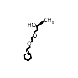 CC#CC(O)CCOCCOCCN1CCCCC1